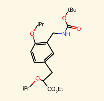 CCOC(=O)C(Cc1ccc(OC(C)C)c(CNC(=O)OC(C)(C)C)c1)OC(C)C